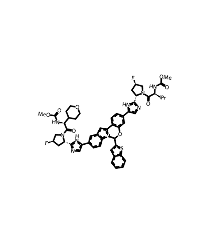 COC(=O)N[C@H](C(=O)N1C[C@H](F)C[C@H]1c1ncc(-c2ccc3c(c2)OC(c2cc4ccccc4s2)n2c-3cc3cc(-c4cnc([C@@H]5C[C@@H](F)CN5C(=O)[C@@H](NC(=O)OC)C5CCOCC5)[nH]4)ccc32)[nH]1)C(C)C